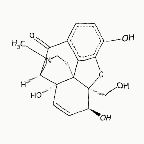 CN1CC[C@]23c4c5ccc(O)c4O[C@@]2(CO)[C@@H](O)C=C[C@@]3(O)[C@H]1C5=O